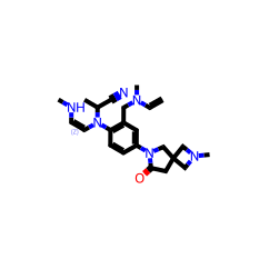 C=CN(C)Cc1cc(N2CC3(CC2=O)CN(C)C3)ccc1N(/C=C\NC)C(C)C#N